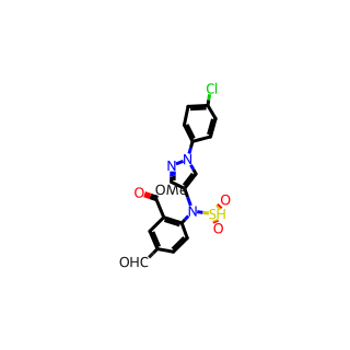 COC(=O)c1cc(C=O)ccc1N(c1cnn(-c2ccc(Cl)cc2)c1)[SH](=O)=O